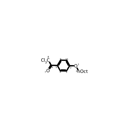 CCCCCCCCOc1ccc(C(=O)C(Cl)(Cl)Cl)cc1